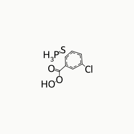 O=C(OO)c1cccc(Cl)c1.[PH3]=S